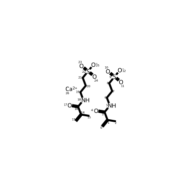 C=C(C)C(=O)NCCCS(=O)(=O)[O-].C=C(C)C(=O)NCCCS(=O)(=O)[O-].[Ca+2]